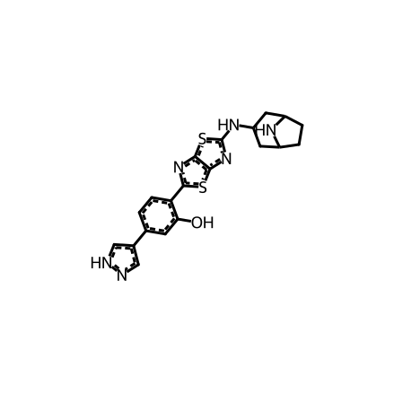 Oc1cc(-c2cn[nH]c2)ccc1-c1nc2sc(NC3CC4CCC(C3)N4)nc2s1